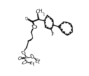 CCOP(=O)(OCC)OCCCCOC(=O)C(C)c1ccc(-c2ccccc2)c(F)c1